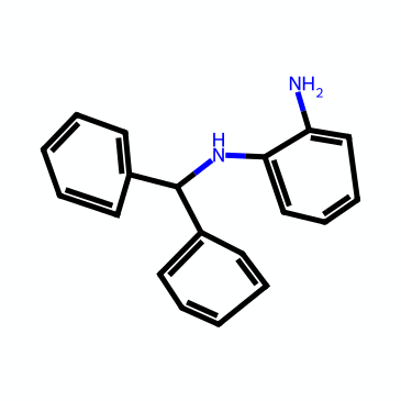 Nc1ccccc1NC(c1ccccc1)c1ccccc1